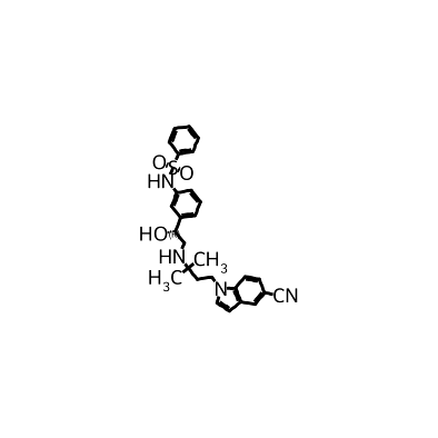 CC(C)(CCn1ccc2cc(C#N)ccc21)NC[C@H](O)c1cccc(NS(=O)(=O)c2ccccc2)c1